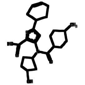 CC1CCC(C(=O)N(c2cc(C3CC=CCC3)sc2C(=O)O)C2CCC(O)C2)CC1